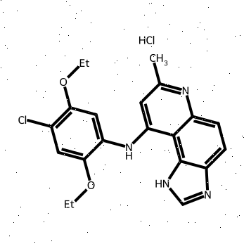 CCOc1cc(Nc2cc(C)nc3ccc4nc[nH]c4c23)c(OCC)cc1Cl.Cl